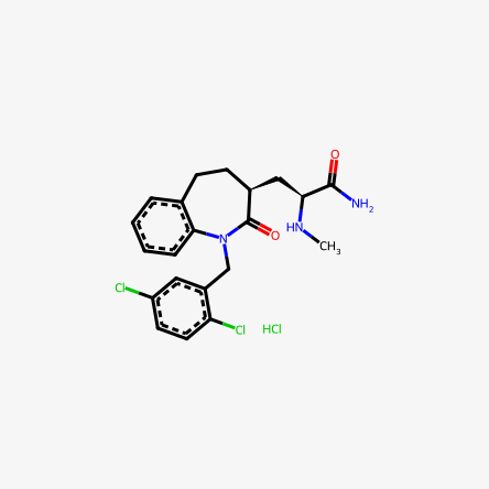 CN[C@@H](C[C@@H]1CCc2ccccc2N(Cc2cc(Cl)ccc2Cl)C1=O)C(N)=O.Cl